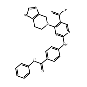 O=C(Nc1ccccc1)c1ccc(Nc2ncc([N+](=O)[O-])c(N3CCc4[nH]cnc4C3)n2)cc1